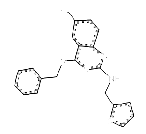 Clc1ccc2nc(NCc3cccs3)nc(NCc3cc[c]cc3)c2c1